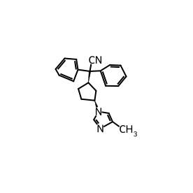 Cc1cn([C@H]2CC[C@@H](C(C#N)(c3ccccc3)c3ccccc3)C2)cn1